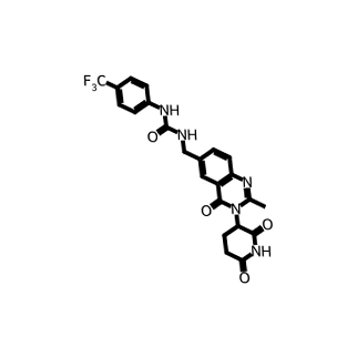 Cc1nc2ccc(CNC(=O)Nc3ccc(C(F)(F)F)cc3)cc2c(=O)n1C1CCC(=O)NC1=O